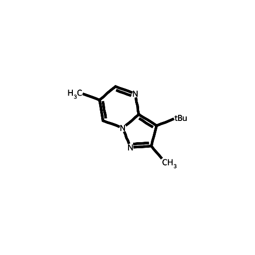 Cc1cnc2c(C(C)(C)C)c(C)nn2c1